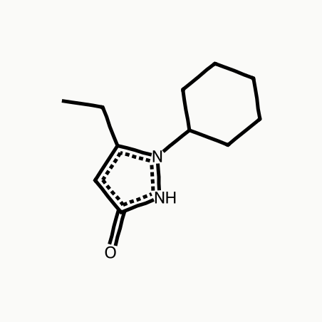 CCc1cc(=O)[nH]n1C1CCCCC1